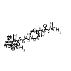 CNCC(=O)NCB1OCCN(CCCSC(=O)NC([PH](=O)O)P(=O)(O)OC)CCO1